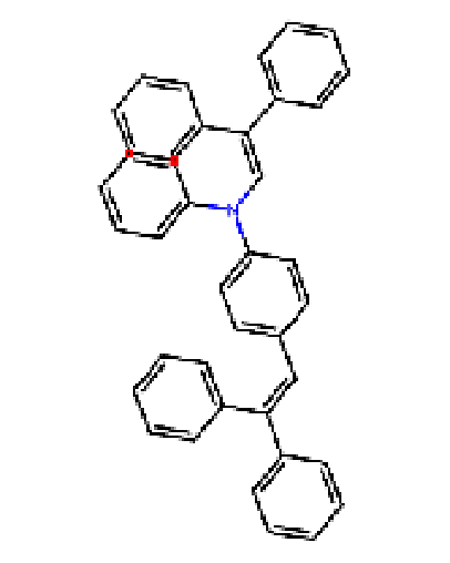 C(=C(c1ccccc1)c1ccccc1)c1ccc(N(C=C(c2ccccc2)c2ccccc2)c2ccccc2)cc1